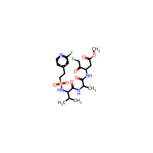 COC(=O)CC(NC(=O)C(C)NC(=O)C(NS(=O)(=O)CCc1ccnc(F)c1)C(C)C)C(=O)CF